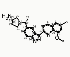 COc1cc(C)cc2ccc(-c3nnc4ccc([C@H](C)N5CC[C@H](N)C5)cn34)nc12